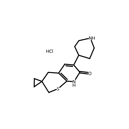 Cl.O=c1[nH]c2c(cc1C1CCNCC1)CC1(CC1)CS2